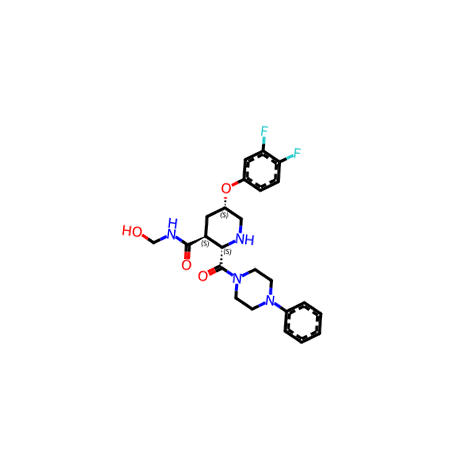 O=C(NCO)[C@H]1C[C@H](Oc2ccc(F)c(F)c2)CN[C@@H]1C(=O)N1CCN(c2ccccc2)CC1